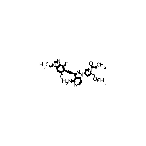 C=CC(=O)N1C[C@@H](n2nc(C#Cc3c(Cl)cc4c(ncn4CC)c3F)c3c(N)nccc32)C[C@@H]1COC